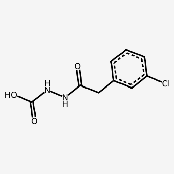 O=C(O)NNC(=O)Cc1cccc(Cl)c1